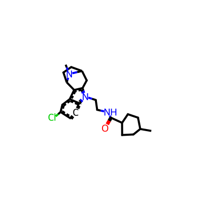 CC1CCC(C(=O)NCCn2c3c(c4cc(Cl)ccc42)C2CCC(C3)N2C)CC1